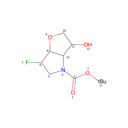 CC(C)(C)OC(=O)N1CC(F)C2OCC(O)C21